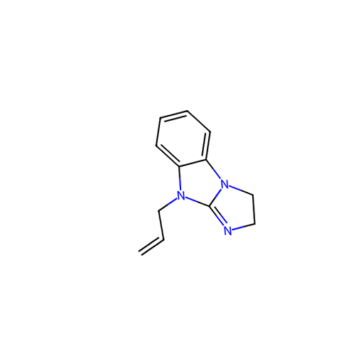 C=CCN1C2=NCCN2c2ccccc21